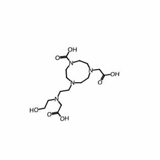 O=C(O)CN(CCO)CCN1CCN(CC(=O)O)CCN(C(=O)O)CC1